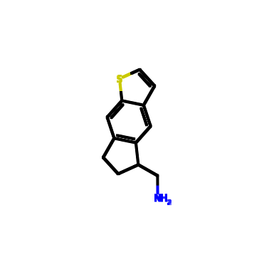 NCC1CCc2cc3sccc3cc21